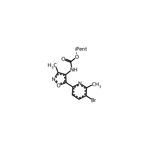 CCC[C@@H](C)OC(=O)Nc1c(C)noc1-c1ccc(Br)c(C)n1